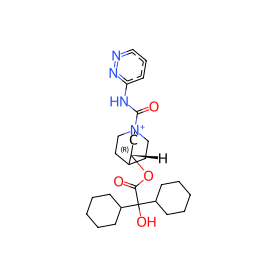 O=C(O[C@H]1C[N+]2(C(=O)Nc3cccnn3)CCC1CC2)C(O)(C1CCCCC1)C1CCCCC1